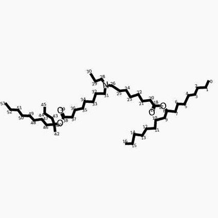 CCCCCCCCC(CCCCCCCC)OC(=O)CCCCCCCN(CCC)CCCCCCCC(=O)OC(C)(CCC)CCCCCCCC